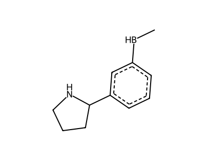 CBc1cccc(C2CCCN2)c1